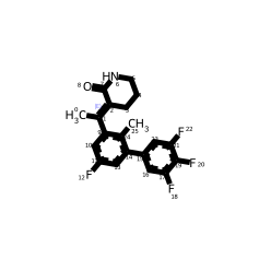 C/C(=C1/CCCNC1=O)c1cc(F)cc(-c2cc(F)c(F)c(F)c2)c1C